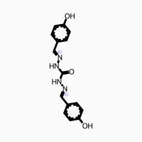 O=C(N/N=C/c1ccc(O)cc1)N/N=C/c1ccc(O)cc1